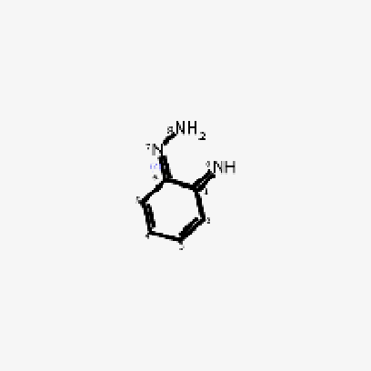 N=C1C=CC=C/C1=N/N